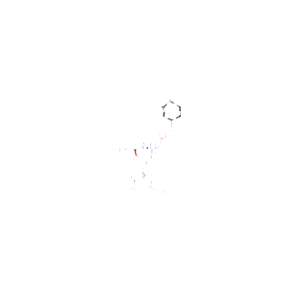 CC(C)(C)CO[C@H](CI)OCC(COCc1ccccc1)NC(=O)OC(C)(C)C